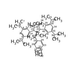 CC1=Cc2c(C(C)C)cc(C(C)C)cc2[CH]1[Zr]([CH3])([SiH2]c1ccccc1)[CH]1C(C)=Cc2c(C(C)C)cc(C(C)C)cc21.Cl.Cl